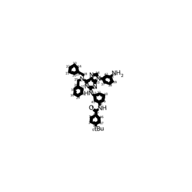 CC(C)(C)c1ccc(C(=O)Nc2cccc(Nc3nc(N(Cc4ccccc4)Cc4ccccc4)c4ncn(-c5cccc(N)c5)c4n3)c2)cc1